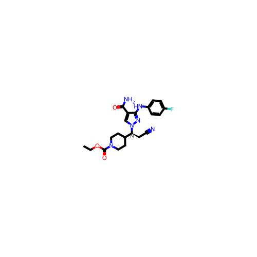 CCOC(=O)N1CCC([C@H](CC#N)n2cc(C(N)=O)c(Nc3ccc(F)cc3)n2)CC1